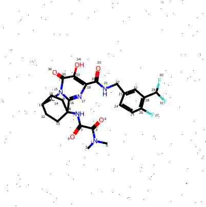 CN(C)C(=O)C(=O)NC12CCC(CC1)Cn1c2nc(C(=O)NCc2ccc(F)c(C(F)F)c2)c(O)c1=O